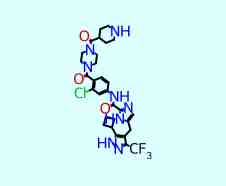 O=C(Nc1ccc(C(=O)N2CCN(C(=O)C3CCNCC3)CC2)c(Cl)c1)c1ncc(Cc2c(C(F)(F)F)n[nH]c2C2CCC2)[nH]1